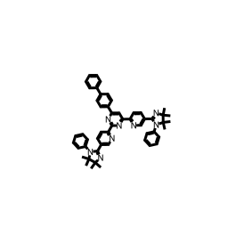 CC1(C)N=C(c2ccc(-c3cc(-c4ccc(-c5ccccc5)cc4)nc(-c4ccc(C5=NC(C)(C)C(C)(C)N5c5ccccc5)cn4)n3)nc2)N(c2ccccc2)C1(C)C